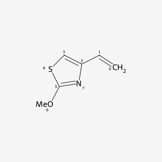 C=Cc1csc(OC)n1